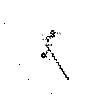 CCCCCCCCCCCCCCCCCCOC[C@H](COP(=O)(O)OCC1O[C@@](C)(c2ccc3c(N)ncnn23)[C@H](O)[C@@H]1O)OCc1ccccc1F